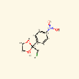 O=[N+]([O-])c1ccc(C2(CCl)OCCO2)cc1